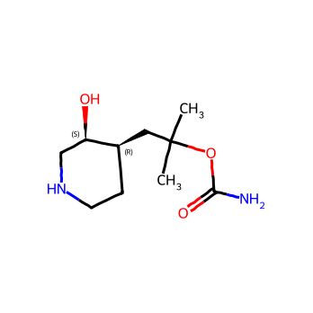 CC(C)(C[C@H]1CCNC[C@H]1O)OC(N)=O